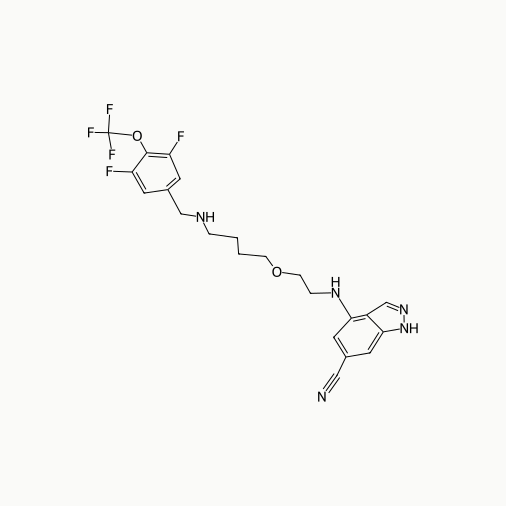 N#Cc1cc(NCCOCCCCNCc2cc(F)c(OC(F)(F)F)c(F)c2)c2cn[nH]c2c1